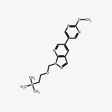 COc1ncc(-c2cnc3c(cnn3COCC[Si](C)(C)C)c2)cn1